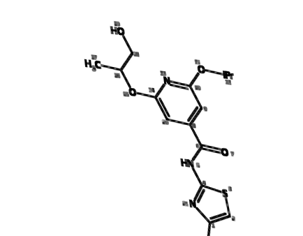 CCc1csc(NC(=O)c2cc(OC(C)C)nc(OC(C)CO)c2)n1